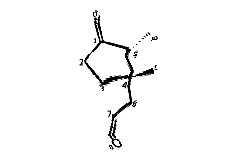 C=C1CC[C@@](C)(CC=O)[C@H]1C